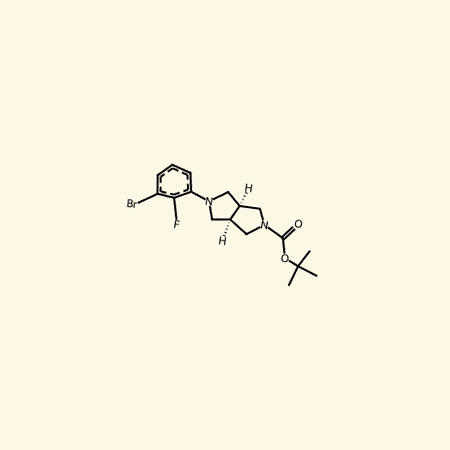 CC(C)(C)OC(=O)N1C[C@@H]2CN(c3cccc(Br)c3F)C[C@@H]2C1